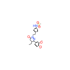 CCC1CC(=O)N(CCc2ccc(NS(C)(=O)=O)cc2)N=C1c1ccc(OC)c(OC)c1